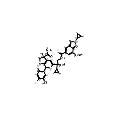 COc1cc(C(=O)NCC(O)(c2cc3c(c(-c4cc(Cl)c(F)cc4Cl)n2)OC[C@]3(C)C(N)=O)C2CC2)cc2cn(C3CC3)nc12